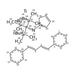 C(C=Cc1ccccc1)=Cc1ccccc1.CCCC[Si](C)(C)P(=NC1=CC=CC1)([Si](C)(C)CCCC)[Si](C)(C)CCCC.[Ti]